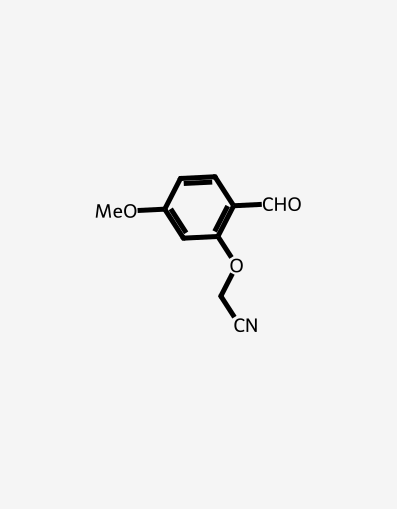 COc1ccc(C=O)c(OCC#N)c1